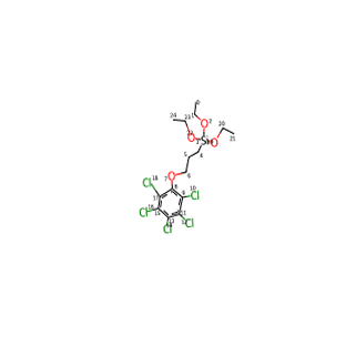 CCO[Si](CCCOc1c(Cl)c(Cl)c(Cl)c(Cl)c1Cl)(OCC)OCC